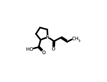 C/C=C/C(=O)N1CCCC1C(=O)O